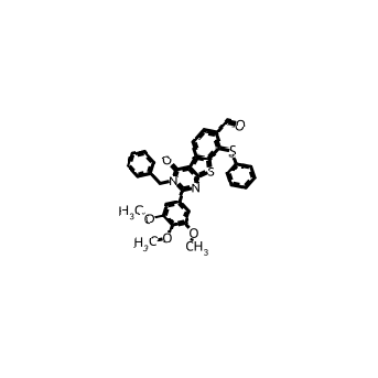 COc1cc(-c2nc3sc4c(Sc5ccccc5)c(C=O)ccc4c3c(=O)n2Cc2ccccc2)cc(OC)c1OC